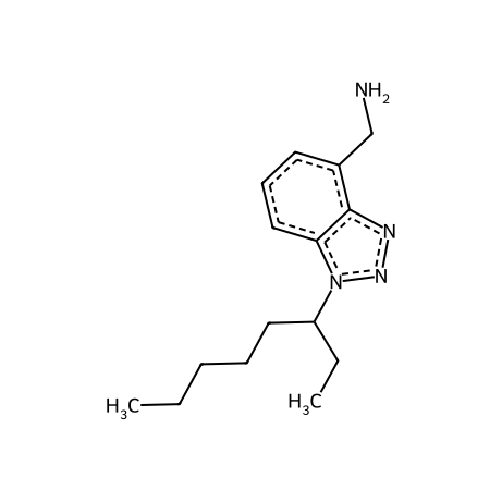 CCCCCC(CC)n1nnc2c(CN)cccc21